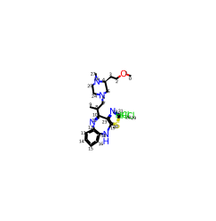 COCC[C@H]1CN(CC(C)C2=Nc3ccccc3Nc3scnc32)CCN1C.Cl.Cl